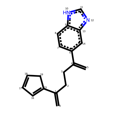 C=C(CCC(=C)c1ccc2[nH]cnc2c1)C1=CC=CC1